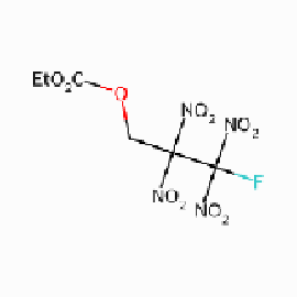 CCOC(=O)OCC([N+](=O)[O-])([N+](=O)[O-])C(F)([N+](=O)[O-])[N+](=O)[O-]